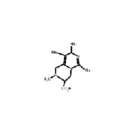 CN1CC2=C(C(C)(C)C)C(C(C)(C)C)N=C(C(C)(C)C)N2CC1C(=O)O